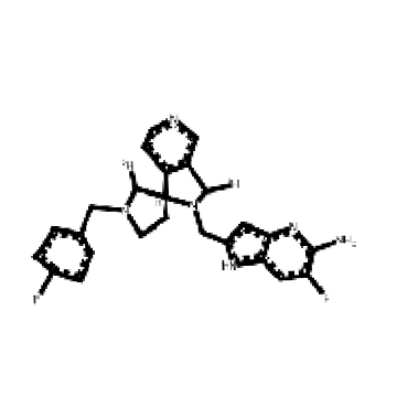 [2H]C1c2cnccc2[C@]2(CCN(Cc3ccc(F)cc3)C2[2H])N1Cc1cc2nc(N)c(F)cc2[nH]1